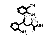 Nc1ccccc1C(=O)CC(N)C(=O)O.Nc1ccccc1O